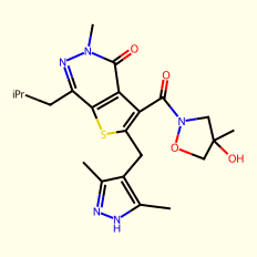 Cc1n[nH]c(C)c1Cc1sc2c(CC(C)C)nn(C)c(=O)c2c1C(=O)N1CC(C)(O)CO1